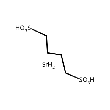 O=S(=O)(O)CCCCS(=O)(=O)O.[SrH2]